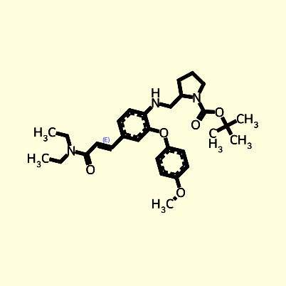 CCN(CC)C(=O)/C=C/c1ccc(NCC2CCCN2C(=O)OC(C)(C)C)c(Oc2ccc(OC)cc2)c1